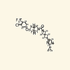 O=C(N1C[C@H]2CC(Oc3ccc(C(F)(F)F)c(Cl)c3)C[C@H]2C1)N1CC2(CC(n3cnc(C4CC4)n3)C2)C1